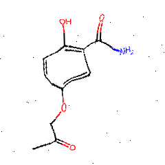 CC(=O)COc1ccc(O)c(C(N)=O)c1